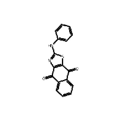 O=C1c2ccccc2C(=O)c2sc(Nc3ccccc3)nc21